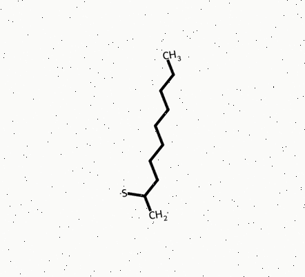 [CH2]C([S])CCCCCCCC